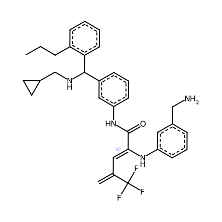 C=C(/C=C(\Nc1cccc(CN)c1)C(=O)Nc1cccc(C(NCC2CC2)c2ccccc2CCC)c1)C(F)(F)F